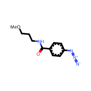 COCCCNC(=O)c1ccc(N=[N+]=[N-])cc1